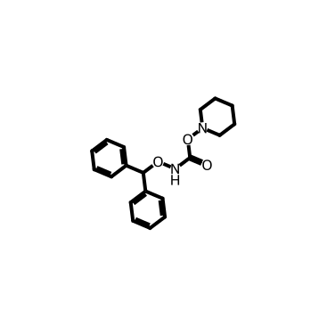 O=C(NOC(c1ccccc1)c1ccccc1)ON1CCCCC1